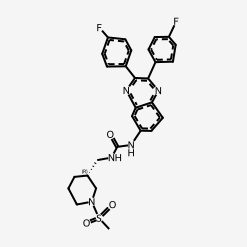 CS(=O)(=O)N1CCC[C@H](CNC(=O)Nc2ccc3nc(-c4ccc(F)cc4)c(-c4ccc(F)cc4)nc3c2)C1